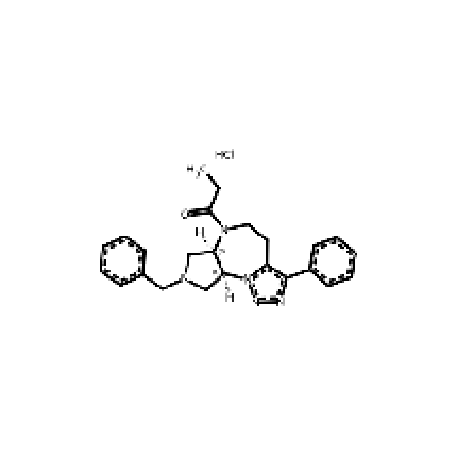 CCC(=O)N1CCc2c(-c3ccccc3)nnn2[C@H]2CN(Cc3ccccc3)C[C@H]21.Cl